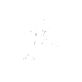 Cc1cc(OCc2noc(=O)[nH]2)c(F)c(C)c1Cc1ccc(O)c(-c2cccc(F)c2F)n1